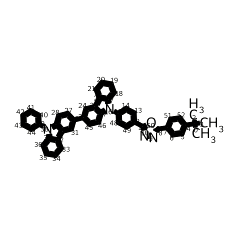 CC(C)(C)c1ccc(-c2nnc(-c3ccc(-n4c5ccccc5c5cc(-c6ccc7c(c6)c6ccccc6n7-c6ccccc6)ccc54)cc3)o2)cc1